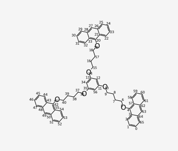 c1ccc2c(OCCCCOc3cc(OCCCCOc4c5ccccc5cc5ccccc45)cc(OCCCCOc4c5ccccc5cc5ccccc45)c3)c3ccccc3cc2c1